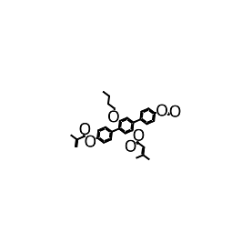 C=C(C)C(=O)Oc1ccc(-c2cc(OC(=O)C=C(C)C)c(-c3ccc(OC=O)cc3)cc2OCCCC)cc1